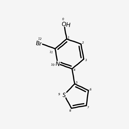 Oc1ccc(-c2cccs2)nc1Br